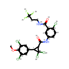 COc1c(Cl)cc(C2C(C(=O)Nc3ccc(Cl)c(C(=O)NCCC(F)(F)F)c3)C2(Cl)Cl)cc1Cl